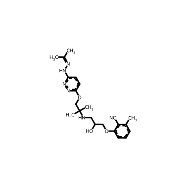 CC(C)=NNc1ccc(OCC(C)(C)NCC(O)COc2cccc(C)c2C#N)nn1